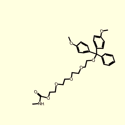 CNC(=O)OCCOCCOCCOCCOC(c1ccccc1)(c1ccc(OC)cc1)c1ccc(OC)cc1